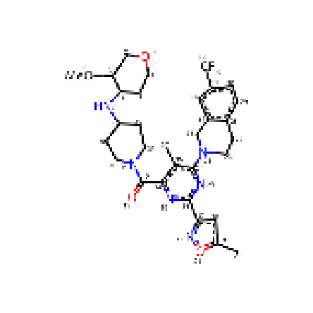 COC1COCCC1NC1CCN(C(=O)c2nc(-c3cc(C)on3)nc(N3CCc4ccc(C(F)(F)F)cc4C3)c2C)CC1